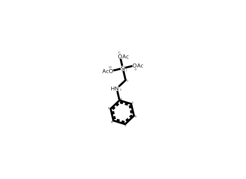 CC(=O)O[Si](CNc1ccccc1)(OC(C)=O)OC(C)=O